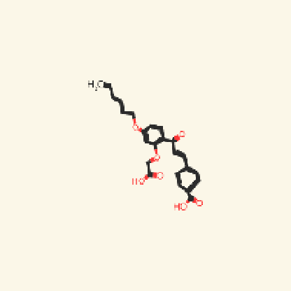 C=CCCCCOc1ccc(C(=O)/C=C/c2ccc(C(=O)O)cc2)c(OCC(=O)O)c1